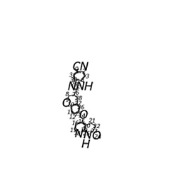 N#Cc1ccc2[nH]c(C3COc4ccc(Oc5ccnc6c5CCC(=O)N6)cc4C3)nc2c1